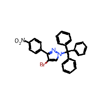 O=[N+]([O-])c1ccc(-c2nn(C(c3ccccc3)(c3ccccc3)c3ccccc3)cc2Br)cc1